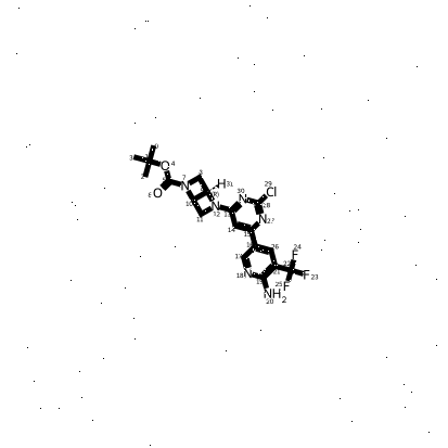 CC(C)(C)OC(=O)N1C[C@@H]2C1CN2c1cc(-c2cnc(N)c(C(F)(F)F)c2)nc(Cl)n1